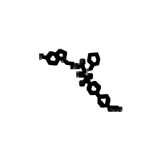 COc1ccc(-c2ccc(S(=O)(=O)N[C@@H](CC3CCCCC3)C(=O)NCCN3CCc4cc(F)ccc43)cc2)cc1